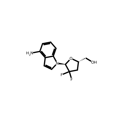 Nc1cccc2c1ccn2[C@H]1O[C@H](CO)CC1(F)F